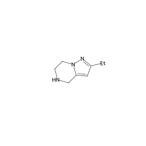 CCc1cc2n(n1)CCNC2